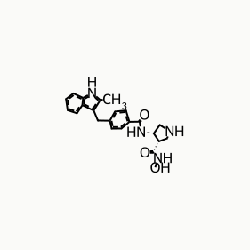 Cc1[nH]c2ccccc2c1Cc1ccc(C(=O)N[C@@H]2CNC[C@@H]2C(=O)NO)cc1